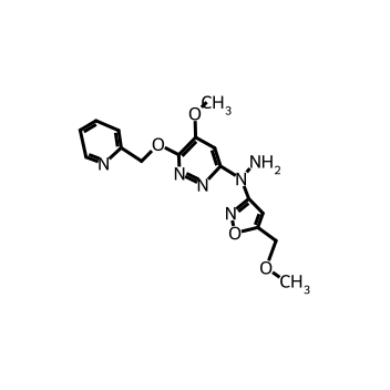 COCc1cc(N(N)c2cc(OC)c(OCc3ccccn3)nn2)no1